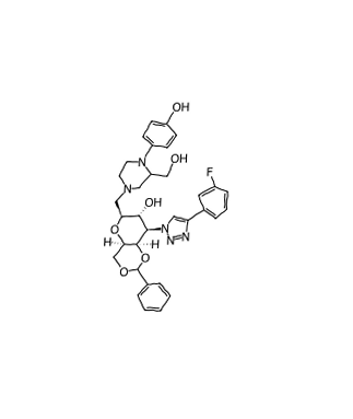 OCC1CN(C[C@@H]2O[C@@H]3COC(c4ccccc4)O[C@@H]3[C@H](n3cc(-c4cccc(F)c4)nn3)[C@H]2O)CCN1c1ccc(O)cc1